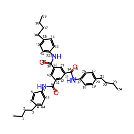 CCCCc1ccc(NC(=O)c2cc(C(=O)Nc3ccc(CCCC)cc3)cc(C(=O)Nc3ccc(CCCC)cc3)c2)cc1